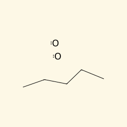 CCCCC.[O].[O]